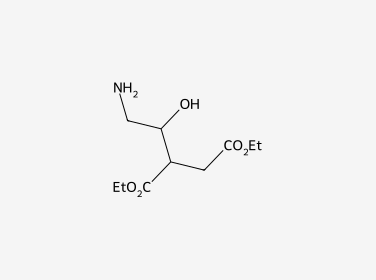 CCOC(=O)CC(C(=O)OCC)C(O)CN